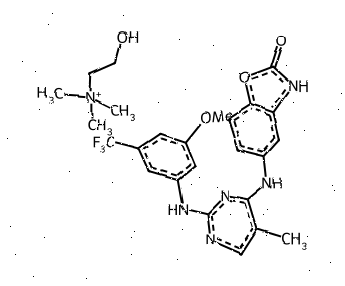 COc1cc(Nc2ncc(C)c(Nc3ccc4oc(=O)[nH]c4c3)n2)cc(C(F)(F)F)c1.C[N+](C)(C)CCO